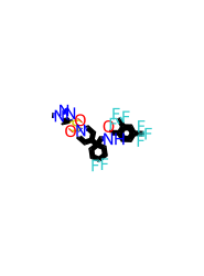 Cn1cc(S(=O)(=O)N2CCC(C3(CNC(=O)c4ccc(C(F)(F)F)cc4C(F)(F)F)CCC(F)(F)CC3)CC2)nn1